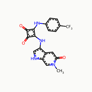 Cn1cc2[nH]cc(Nc3c(Nc4ccc(C(F)(F)F)cc4)c(=O)c3=O)c2cc1=O